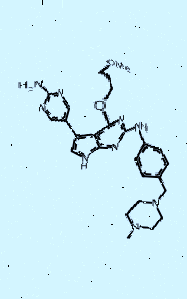 COCCOc1nc(Nc2ccc(CN3CCN(C)CC3)cc2)nc2[nH]cc(-c3cnc(N)nc3)c12